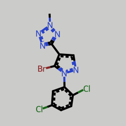 Cn1nnc(-c2cnn(-c3cc(Cl)ccc3Cl)c2Br)n1